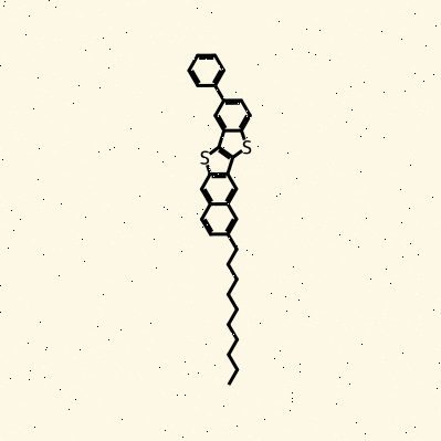 CCCCCCCCCCc1ccc2cc3sc4c5cc(-c6ccccc6)ccc5sc4c3cc2c1